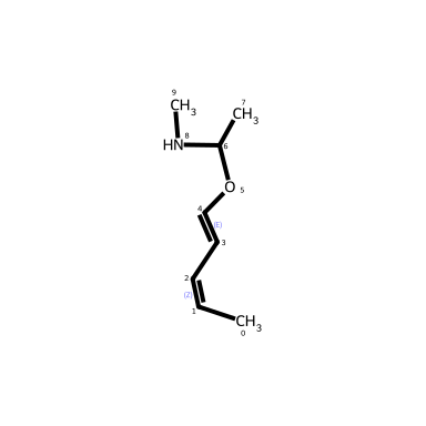 C/C=C\C=C\OC(C)NC